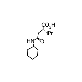 CC(C)[C@H](CC(=O)NC1CCCCC1)C(=O)O